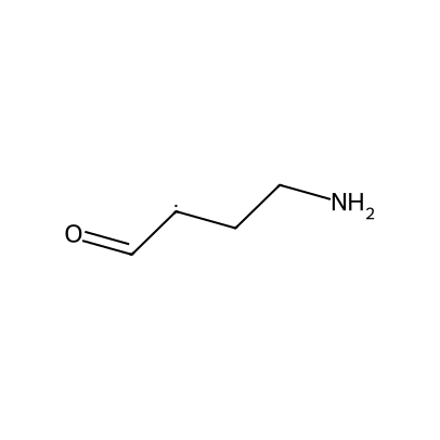 NCC[CH]C=O